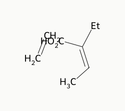 C=C.CC=C(CC)C(=O)O